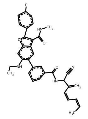 C=C(/C=C\C=C/C)C(C#N)NC(=O)c1cccc(-c2cc3c(C(=O)NC)c(-c4ccc(F)cc4)oc3cc2NCC)c1